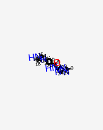 Cc1cn2cc(NC(=O)c3ccc(N4CCNC(C)(C)C4)cc3)ncc2n1